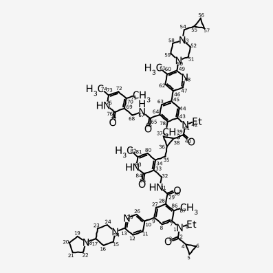 CCN(C(=O)C1CC1)c1cc(-c2ccc(N3CCC(N4CCCC4)CC3)nc2)cc(C(=O)NCc2c(CC3CC3C(=O)N(CC)c3cc(-c4cnc(N5CCN(CC6CC6)CC5)c(C)c4)cc(C(=O)NCc4c(C)cc(C)[nH]c4=O)c3C)cc(C)[nH]c2=O)c1C